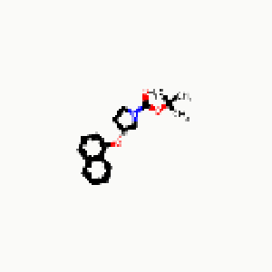 CC(C)(C)OC(=O)N1CC[C@@H](Oc2cccc3ccccc23)C1